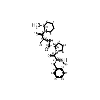 B[C@@H]1CCCCN1C(=S)[C@H](C)NC(=O)[C@@H]1CCCN1C(=O)[C@H](Cc1ccccc1)NC